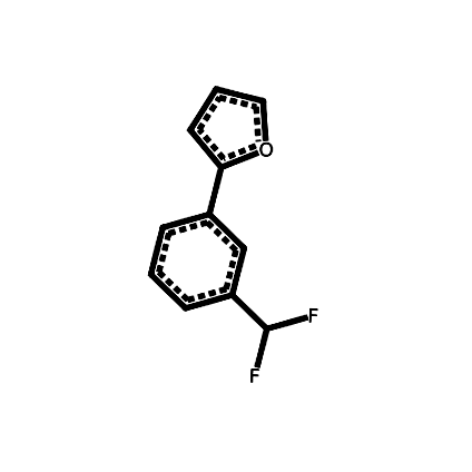 FC(F)c1cccc(-c2ccco2)c1